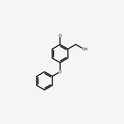 OCc1cc(Oc2ccccc2)ccc1Cl